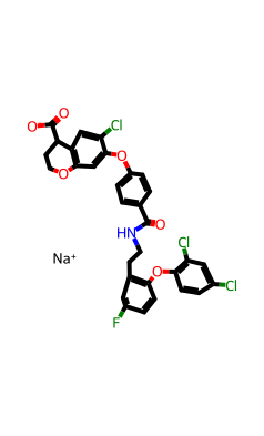 O=C(NCCc1cc(F)ccc1Oc1ccc(Cl)cc1Cl)c1ccc(Oc2cc3c(cc2Cl)C(C(=O)[O-])CCO3)cc1.[Na+]